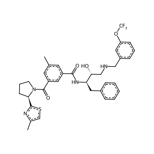 Cc1cc(C(=O)N[C@H](Cc2ccccc2)[C@H](O)CNCc2cccc(OC(F)(F)F)c2)cc(C(=O)N2CCC[C@@H]2c2nc(C)cs2)c1